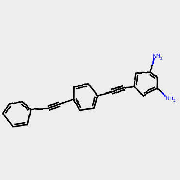 Nc1cc(N)cc(C#Cc2ccc(C#Cc3ccccc3)cc2)c1